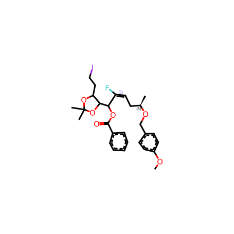 COc1ccc(CO[C@H](C)C/C=C(/F)C(OC(=O)c2ccccc2)C2OC(C)(C)OC2CCI)cc1